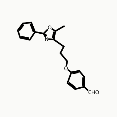 Cc1oc(-c2ccccc2)nc1CCCOc1ccc(C=O)cc1